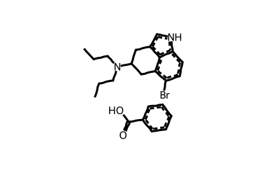 CCCN(CCC)C1Cc2c[nH]c3ccc(Br)c(c23)C1.O=C(O)c1ccccc1